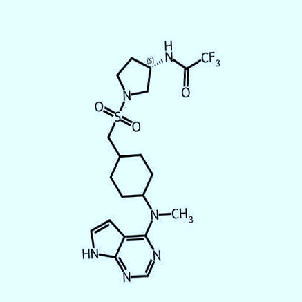 CN(c1ncnc2[nH]ccc12)C1CCC(CS(=O)(=O)N2CC[C@H](NC(=O)C(F)(F)F)C2)CC1